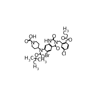 CCS(=O)(=O)c1ccc(Cl)cc1Cn1c(=O)[nH]c2cc(N(C(=O)OC(C)(C)C)C3CCN(C(=O)O)CC3)c(Br)cc2c1=O